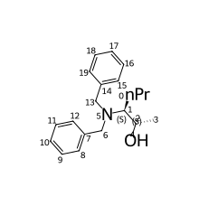 CCC[C@@H]([C@H](C)O)N(Cc1ccccc1)Cc1ccccc1